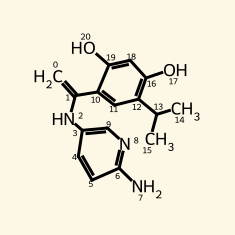 C=C(Nc1ccc(N)nc1)c1cc(C(C)C)c(O)cc1O